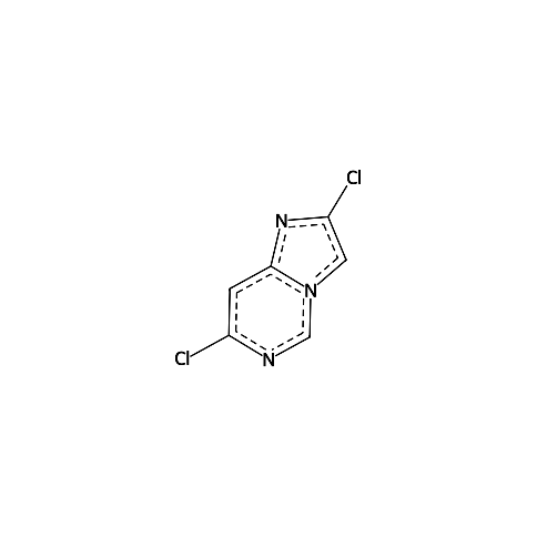 Clc1cc2nc(Cl)cn2cn1